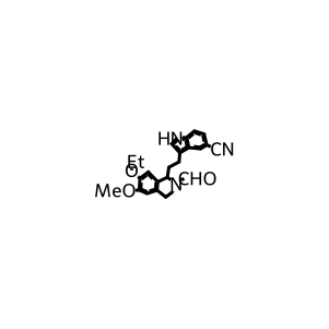 CCOc1cc2c(cc1OC)CCN(C=O)C2CCc1c[nH]c2ccc(C#N)cc12